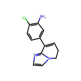 Nc1cc(C2=CCCn3ccnc32)ccc1Cl